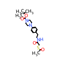 CC(=O)SCC(=O)NCCc1ccc(N2CCN(C(=O)OC(C)(C)C)CC2)cc1